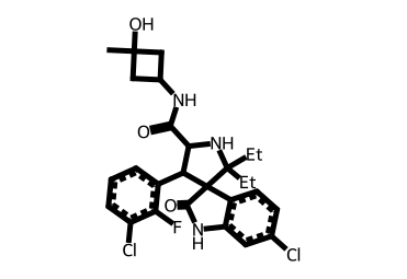 CCC1(CC)NC(C(=O)NC2CC(C)(O)C2)C(c2cccc(Cl)c2F)C12C(=O)Nc1cc(Cl)ccc12